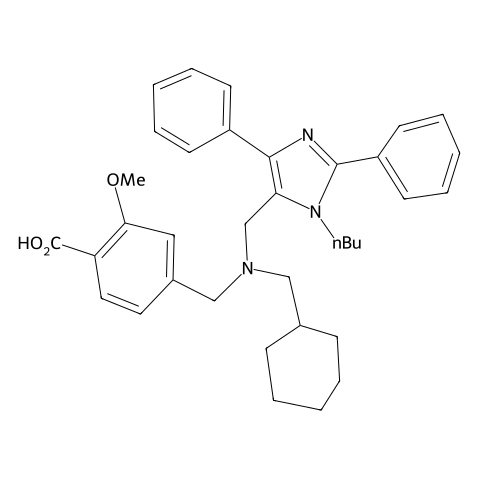 CCCCn1c(-c2ccccc2)nc(-c2ccccc2)c1CN(Cc1ccc(C(=O)O)c(OC)c1)CC1CCCCC1